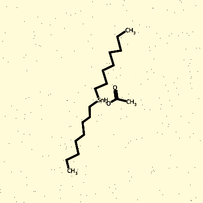 CCCCCCC[CH2][SnH]([CH2]CCCCCCC)[O]C(C)=O